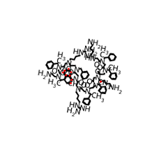 C[C@@H](c1ccccc1)N(CC(N)=O)C(=O)CN(C(=O)CN(CCCCNC(=N)N)C(=O)CN(Cc1ccccc1)C(=O)CN(C(=O)CN(CCCCNC(=N)N)C(=O)CN(C(=O)CN(C(=O)CN(CCCCN)C(=O)CN(C(=O)CN(C(=O)CNCCCCN)[C@@H](C)c1ccccc1)[C@@H](C)c1ccccc1)[C@@H](C)c1ccccc1)[C@@H](C)c1ccccc1)[C@@H](C)c1ccccc1)[C@@H](C)c1ccccc1